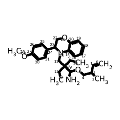 C=CC(C)COC(N)C(CC)(CC)CN1c2ccccc2OCC1c1ccc(OC)cc1